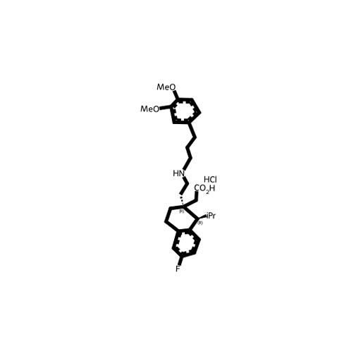 COc1ccc(CCCNCC[C@@]2(CC(=O)O)CCc3cc(F)ccc3[C@@H]2C(C)C)cc1OC.Cl